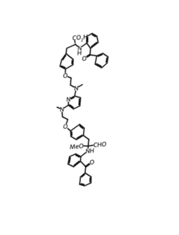 COC(C=O)(Cc1ccc(OCCN(C)c2cccc(N(C)CCOc3ccc(C[C@H](Nc4ccccc4C(=O)c4ccccc4)C(=O)O)cc3)n2)cc1)Nc1ccccc1C(=O)c1ccccc1